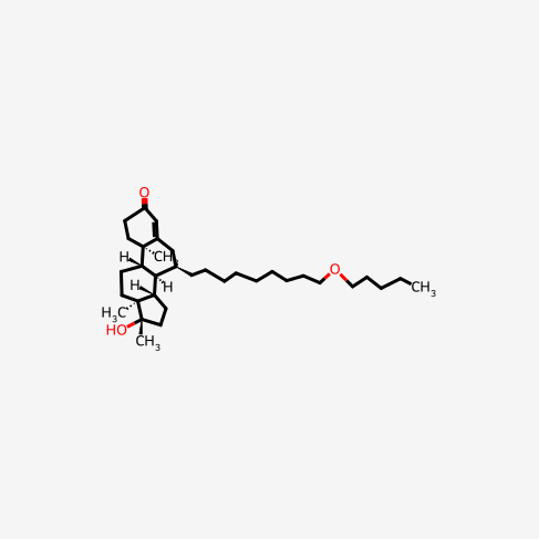 CCCCCOCCCCCCCCC[C@@H]1CC2=CC(=O)CC[C@]2(C)[C@H]2CC[C@@]3(C)[C@@H](CC[C@]3(C)O)[C@H]12